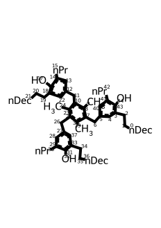 CCCCCCCCCCCCc1cc(Cc2c(C)c(Cc3cc(CCC)c(O)c(CCCCCCCCCCCC)c3)c(C)c(Cc3cc(CCC)c(O)c(CCCCCCCCCCCC)c3)c2C)cc(CCC)c1O